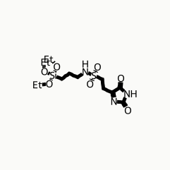 CCO[Si](CCCNS(=O)(=O)CCC1=NC(=O)NC1=O)(OCC)OCC